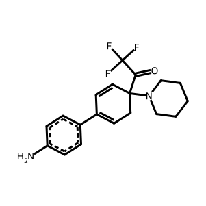 Nc1ccc(C2=CCC(C(=O)C(F)(F)F)(N3CCCCC3)C=C2)cc1